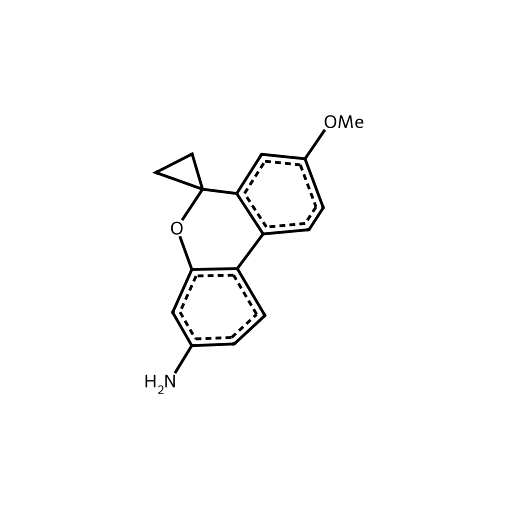 COc1ccc2c(c1)C1(CC1)Oc1cc(N)ccc1-2